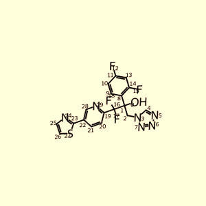 OC(Cn1cnnn1)(c1ccc(F)cc1F)C(F)(F)c1ccc(-c2nccs2)cn1